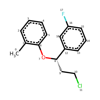 Cc1ccccc1O[C@@H](CCCl)c1cccc(F)c1